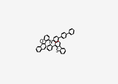 c1ccc(-c2ccc(-c3ccc(N(c4ccccc4-c4cccc5c4sc4ccccc45)c4cccc5oc6c7ccccc7ccc6c45)cc3)cc2)cc1